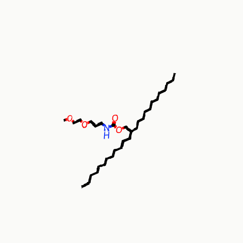 CCCCCCCCCCCCC(CCCCCCCCCCCC)COC(=O)NCCCOCCOC